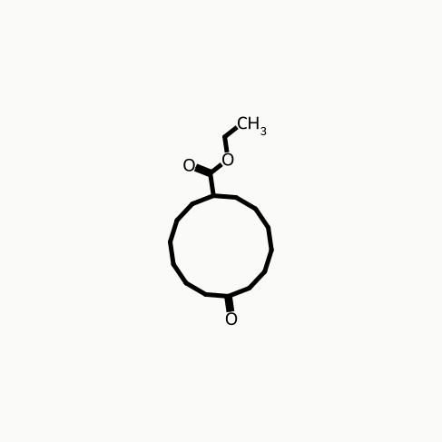 CCOC(=O)C1CCCCCCC(=O)CCCCCC1